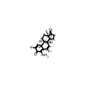 C[C@]12C=C(F)C(=O)C(N)=C1C(F)=C[C@@H]1[C@@H]2CC[C@]2(C)C(=O)CC[C@@H]12